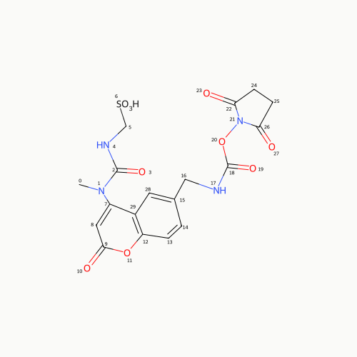 CN(C(=O)NCS(=O)(=O)O)c1cc(=O)oc2ccc(CNC(=O)ON3C(=O)CCC3=O)cc12